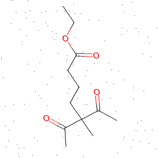 CCOC(=O)CCCC(C)(C(C)=O)C(C)=O